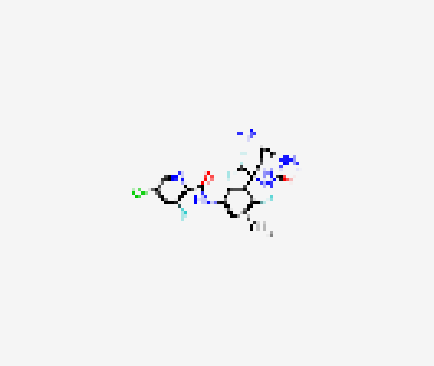 Cc1cc(NC(=O)c2ncc(Cl)cc2F)cc([C@](NC(N)=O)(C(F)F)[C@H]2C[C@H]2N)c1F